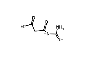 CCC(=O)CC(=O)NC(=N)N